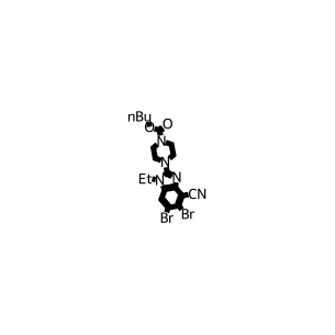 CCCCOC(=O)N1CCN(c2nc3c(C#N)c(Br)c(Br)cc3n2CC)CC1